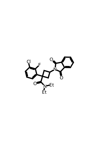 CCN(CC)C(=O)C1(c2cccc(Cl)c2F)CC(N2C(=O)c3ccccc3C2=O)C1